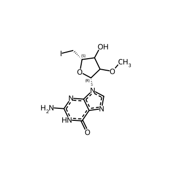 COC1C(O)[C@@H](CI)O[C@H]1n1cnc2c(=O)[nH]c(N)nc21